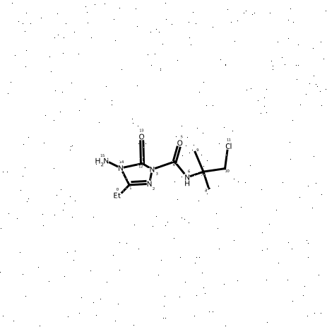 CCc1nn(C(=O)NC(C)(C)CCl)c(=O)n1N